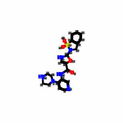 O=C(Nc1cnccc1N1CCNCC1)C1=CNC(N2Cc3ccccc3S2(=O)=O)O1